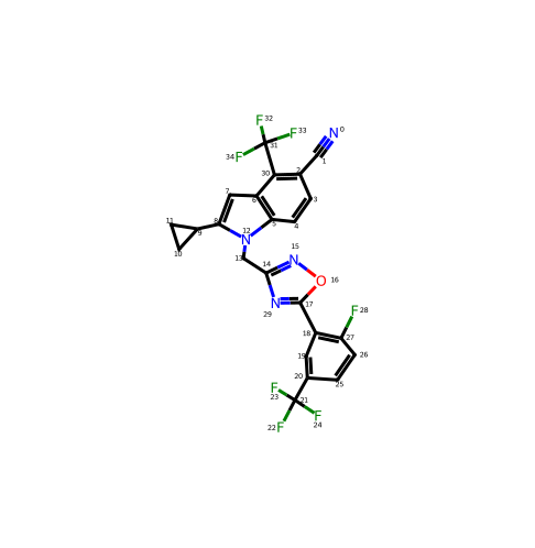 N#Cc1ccc2c(cc(C3CC3)n2Cc2noc(-c3cc(C(F)(F)F)ccc3F)n2)c1C(F)(F)F